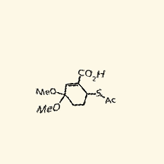 COC1(OC)C=C(C(=O)O)C(SC(C)=O)CC1